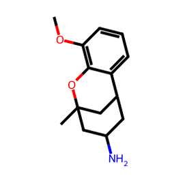 COc1cccc2c1OC1(C)CC(N)CC2C1